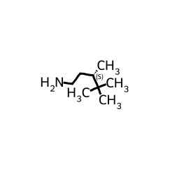 C[C@@H](CCN)C(C)(C)C